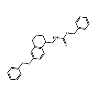 O=C(NCC1CCCc2cc(SCc3ccccc3)ccc21)OCc1ccccc1